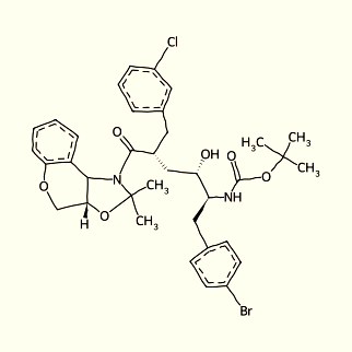 CC(C)(C)OC(=O)N[C@@H](Cc1ccc(Br)cc1)[C@@H](O)C[C@@H](Cc1cccc(Cl)c1)C(=O)N1C2c3ccccc3OC[C@H]2OC1(C)C